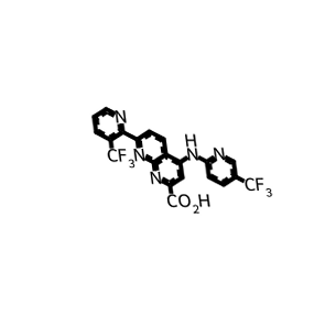 O=C(O)c1cc(Nc2ccc(C(F)(F)F)cn2)c2ccc(-c3ncccc3C(F)(F)F)nc2n1